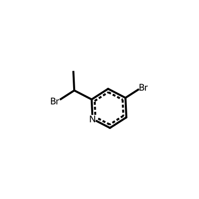 CC(Br)c1cc(Br)ccn1